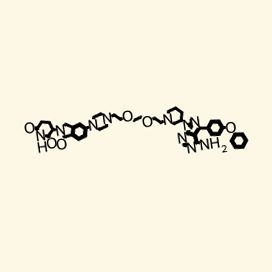 Nc1ncnc2c1c(-c1ccc(Oc3ccccc3)cc1)nn2C1CCCN(CCOCCOCCN2CCN(c3ccc4c(c3)CN(C3CCC(=O)NC3=O)C4=O)CC2)C1